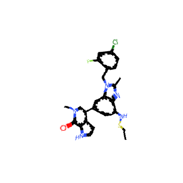 CCSNc1cc(-c2cn(C)c(=O)c3[nH]ccc23)cc2c1nc(C)n2Cc1ccc(Cl)cc1F